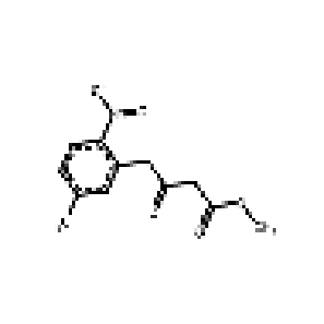 COC(=O)CC(=O)Cc1cc(C)ccc1[N+](=O)[O-]